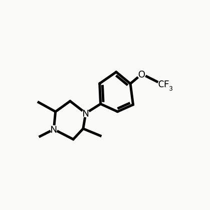 CC1CN(c2ccc(OC(F)(F)F)cc2)C(C)CN1C